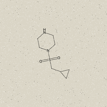 O=S(=O)(CC1CC1)N1CCNCC1